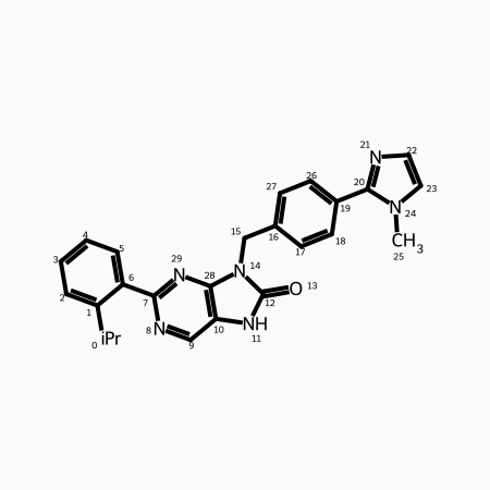 CC(C)c1ccccc1-c1ncc2[nH]c(=O)n(Cc3ccc(-c4nccn4C)cc3)c2n1